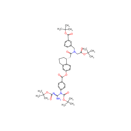 CC(C)(C)OC(=O)CN(Cc1cccc(C(=O)OC(C)(C)C)c1)C(=O)C[C@H]1CCCc2cc(OC(=O)c3ccc(N(C(=O)OC(C)(C)C)C(N)=NC(=O)OC(C)(C)C)cc3)ccc21